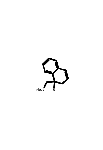 CCCCCCCCC1(Br)CC=Cc2ccccc21